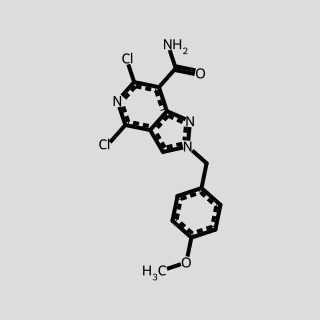 COc1ccc(Cn2cc3c(Cl)nc(Cl)c(C(N)=O)c3n2)cc1